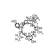 CC(C)C[C@@H]1NC(=O)[C@H](Cc2ccc(O)cc2)NC(=O)[C@@H]2CCCN2[C@H](C(=O)NC(C)(C)C)[C@H](C)NC(=O)[C@H]([C@@H](C)O)NC(=O)C(CC(=O)O)NC1=O